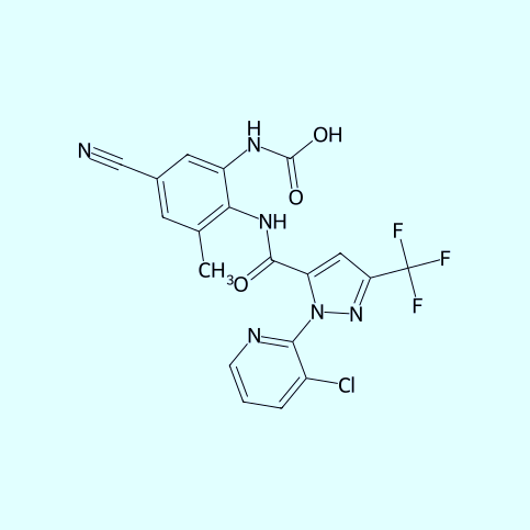 Cc1cc(C#N)cc(NC(=O)O)c1NC(=O)c1cc(C(F)(F)F)nn1-c1ncccc1Cl